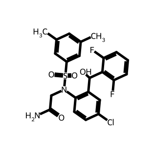 Cc1cc(C)cc(S(=O)(=O)N(CC(N)=O)c2ccc(Cl)cc2C(O)c2c(F)cccc2F)c1